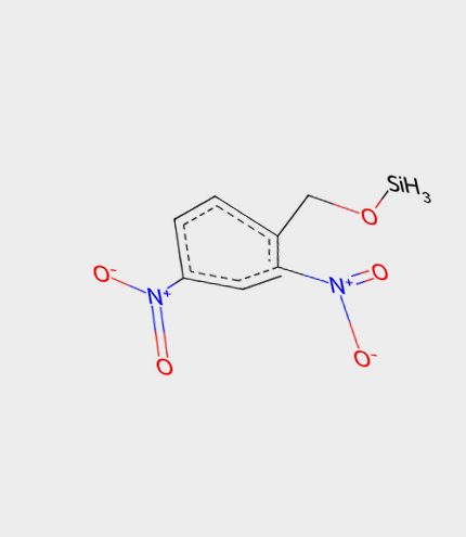 O=[N+]([O-])c1ccc(CO[SiH3])c([N+](=O)[O-])c1